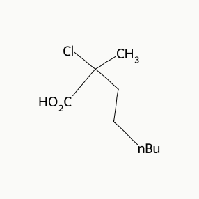 CCCCCCC(C)(Cl)C(=O)O